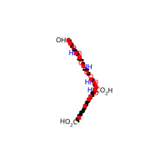 O=CCOCCOCCNC(=O)COCCOCCNCCOCCOCCNC(=O)CC[C@H](NC(=O)CCCCCCCCCCCCCCCCCCC(=O)O)C(=O)O